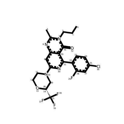 CCCn1c(C)nc2cc(N3CCO[C@@H](C(F)(F)F)C3)nc(-c3ccc(Cl)cc3F)c2c1=O